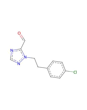 O=Cc1ncnn1CCc1ccc(Cl)cc1